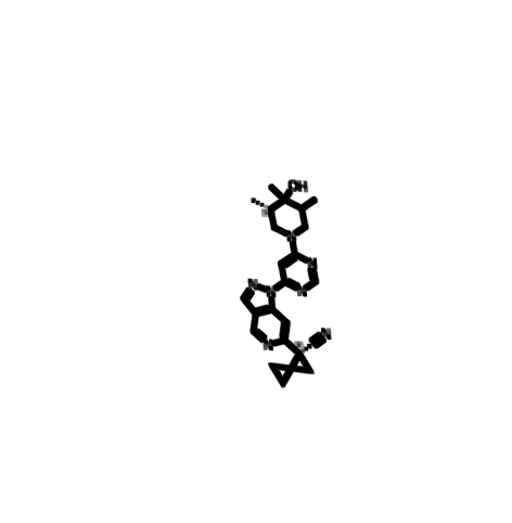 CC1CN(c2cc(-n3ncc4cnc([C@@]5(C#N)CC56CC6)cc43)ncn2)C[C@H](C)C1(C)O